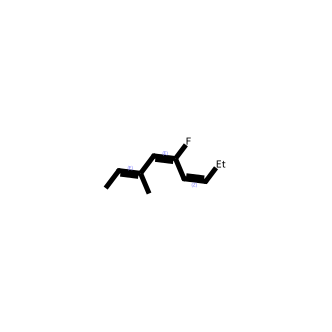 C/C=C(C)/C=C(F)\C=C/CC